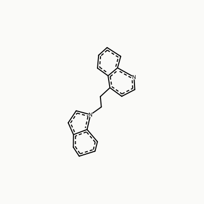 c1ccc2c(c1)ccn2CCc1ccnc2ccccc12